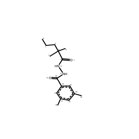 CCCC(C)(C)C(=O)NNC(=O)c1cc(C)cc(C)c1